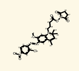 COc1cc2c(cc1N=Nc1ccc([N+](=O)[O-])cc1Cl)C(C)=CC(C)(C)N2CCCC(=O)ON1C(=O)CCC1=O